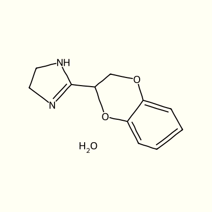 O.c1ccc2c(c1)OCC(C1=NCCN1)O2